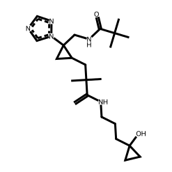 C=C(NCCCC1(O)CC1)C(C)(C)CC1CC1(CNC(=O)C(C)(C)C)n1cncn1